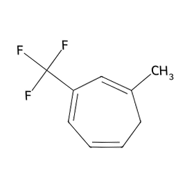 CC1=CC(C(F)(F)F)=CC=CC1